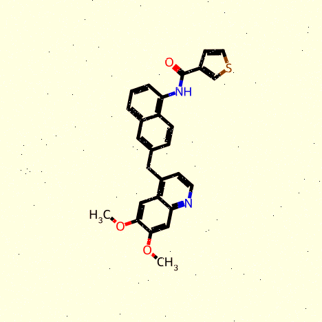 COc1cc2nccc(Cc3ccc4c(NC(=O)c5ccsc5)cccc4c3)c2cc1OC